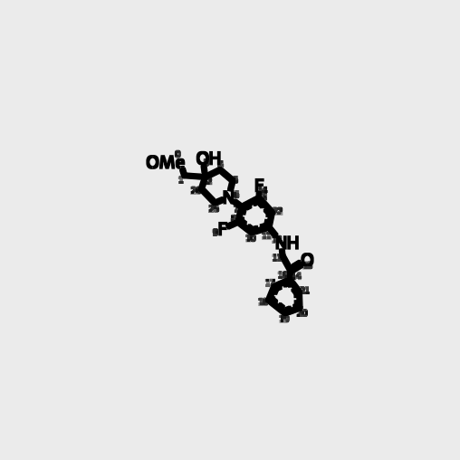 COCC1(O)CCN(c2c(F)cc(NCC(=O)c3ccccc3)cc2F)CC1